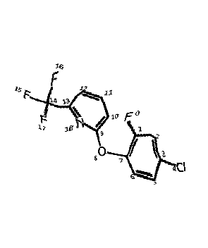 Fc1cc(Cl)ccc1Oc1cc[c]c(C(F)(F)F)n1